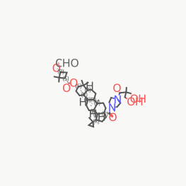 CC(CO)(CO)C(=O)N1CCN(C(=O)[C@]23CC[C@@H](C4(C)CC4)[C@@H]2[C@H]2CC[C@@H]4[C@@]5(C)CC[C@H](OC(=O)[C@H]6C[C@@H](OC=O)C6(C)C)C(C)(C)[C@@H]5CC[C@@]4(C)[C@]2(C)CC3)CC1